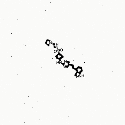 O=S(=O)(NCCN1CCCC1)c1ccc(Nc2ncc(C=Cc3cccc4[nH]ncc34)cn2)cc1